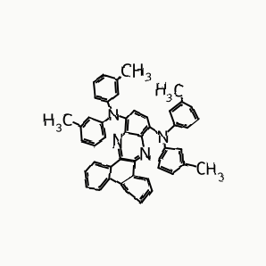 Cc1cccc(N(c2cccc(C)c2)c2ccc(N(c3cccc(C)c3)c3cccc(C)c3)c3nc4c5ccccc5c5ccccc5c4nc23)c1